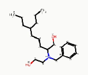 CCCC(CCC)CCCC(CO)N(CCO)Cc1ccccc1